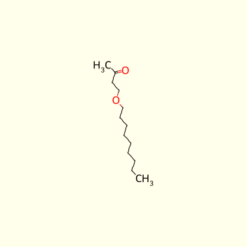 CCCCCCCCCOCCC(C)=O